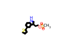 CS(=O)(=O)OCCc1c[nH]c2ccc(-c3cccs3)cc12